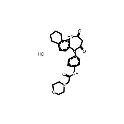 Cl.O=C(CN1CCOCC1)Nc1ccc(N2C(=O)CC(=O)Nc3c2ccc2c3CCCC2)cc1